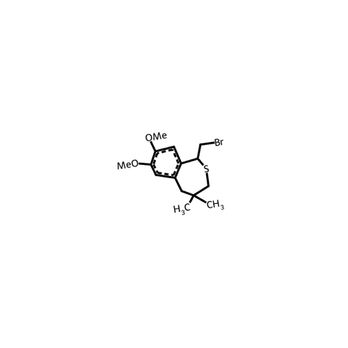 COc1cc2c(cc1OC)C(CBr)SCC(C)(C)C2